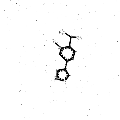 CC(C)c1ccc(-c2cn[nH]c2)cc1F